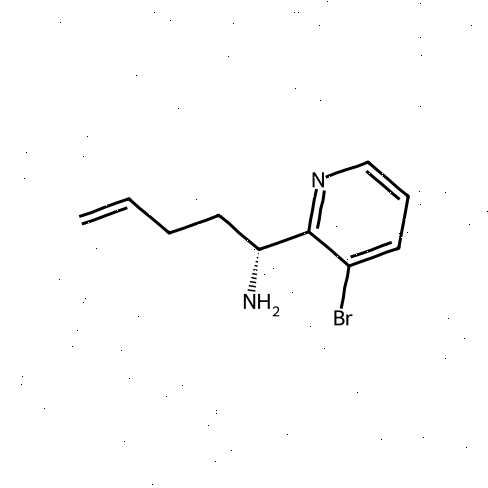 C=CCC[C@@H](N)c1ncccc1Br